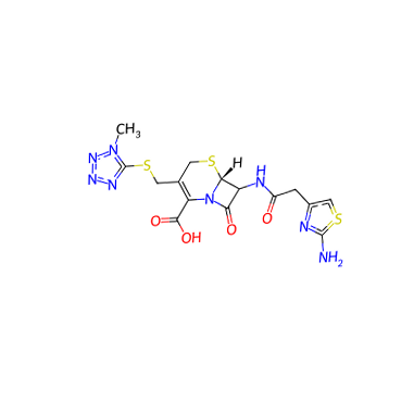 Cn1nnnc1SCC1=C(C(=O)O)N2C(=O)C(NC(=O)Cc3csc(N)n3)[C@H]2SC1